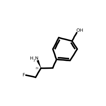 N[C@H](CF)Cc1ccc(O)cc1